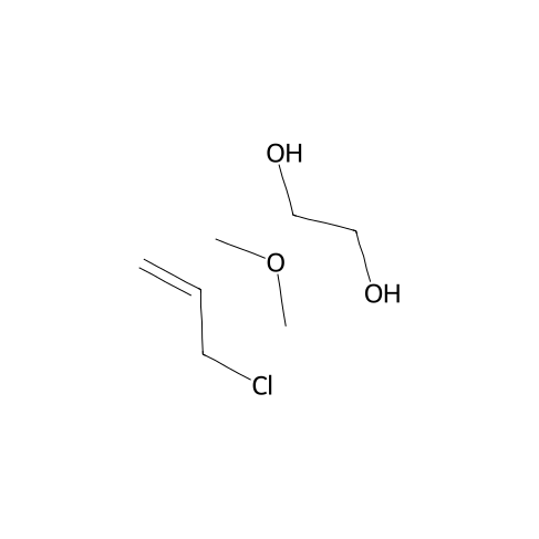 C=CCCl.COC.OCCO